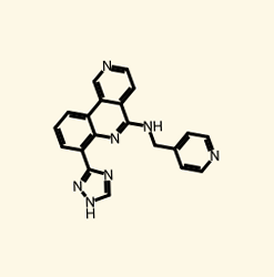 c1cc(-c2nc[nH]n2)c2nc(NCc3ccncc3)c3ccncc3c2c1